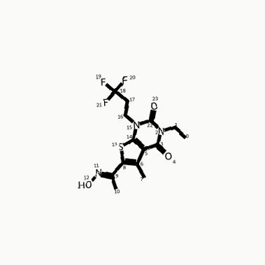 CCn1c(=O)c2c(C)c(/C(C)=N/O)sc2n(CCC(F)(F)F)c1=O